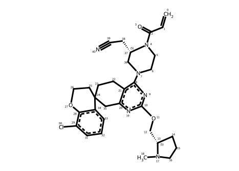 C=CC(=O)N1CCN(c2nc(OC[C@@H]3CCCN3C)nc3c2CCC2(CCOc4c(Cl)cccc42)C3)C[C@@H]1CC#N